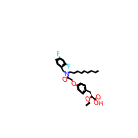 CCCCCCCCCN(Cc1ccc(F)cc1F)C(=O)COc1ccc(C[C@H](OCC)C(=O)O)cc1